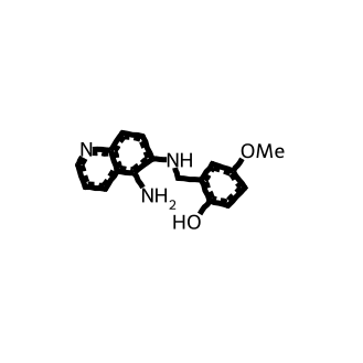 COc1ccc(O)c(CNc2ccc3ncccc3c2N)c1